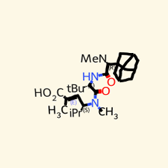 CN[C@@H](C(=O)N[C@H](C(=O)N(C)[C@H](/C=C(\C)C(=O)O)C(C)C)C(C)(C)C)C12CC3CC(CC(C3)C1)C2